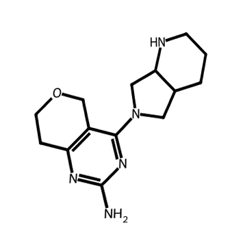 Nc1nc2c(c(N3CC4CCCNC4C3)n1)COCC2